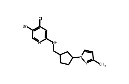 Cc1ccn(C2CCC(CNc3cc(Cl)c(Br)cn3)C2)n1